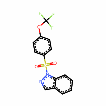 O=S(=O)(c1ccc(OC(F)(F)F)cc1)n1ncc2ccccc21